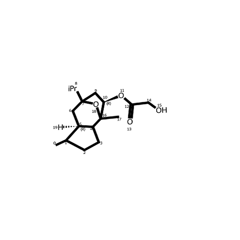 CC1CCC2[C@@H]1CC1(C(C)C)C[C@@H](OC(=O)CO)C2(C)O1